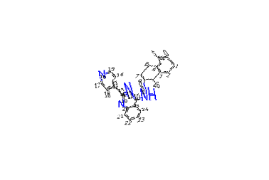 c1ccc2c(c1)CC[C@H](Nc1nc(-c3ccncc3)nc3ccccc13)C2